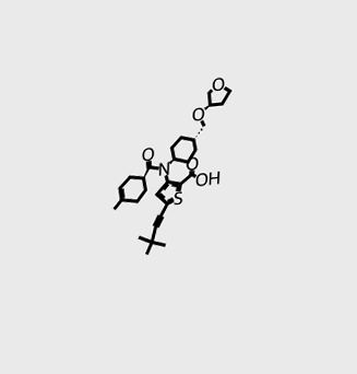 CC1=CC[C@@H](C(=O)N(c2cc(C#CC(C)(C)C)sc2C(=O)O)[C@H]2CC[C@H](CO[C@@H]3CCOC3)CC2)CC1